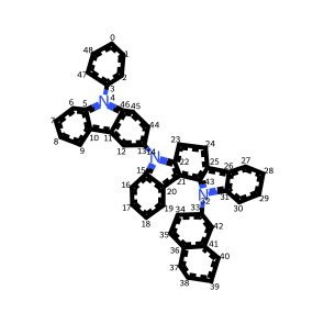 c1ccc(-n2c3ccccc3c3cc(-n4c5ccccc5c5c4ccc4c6ccccc6n(-c6ccc7ccccc7c6)c45)ccc32)cc1